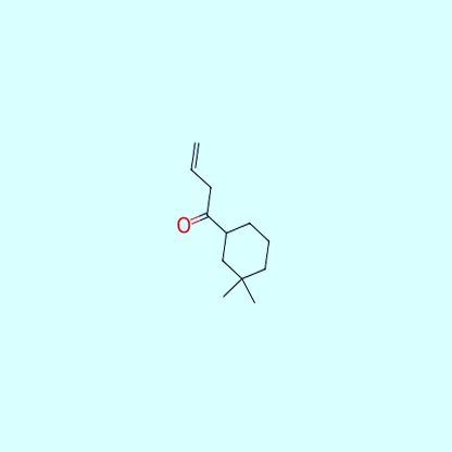 C=CCC(=O)C1CCCC(C)(C)C1